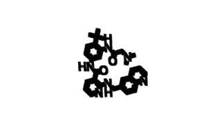 CN(C)CC(=O)Nc1cc(NC(=O)c2cccnc2NCc2ccc3ncccc3c2)ccc1C(C)(C)C